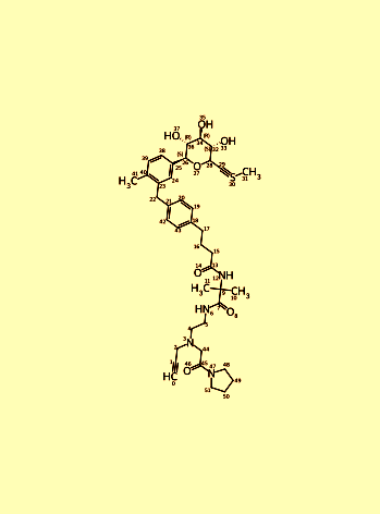 C#CCN(CCNC(=O)C(C)(C)NC(=O)CCCc1ccc(Cc2cc([C@@H]3OC(C#SC)[C@@H](O)[C@H](O)[C@H]3O)ccc2C)cc1)CC(=O)N1CCCC1